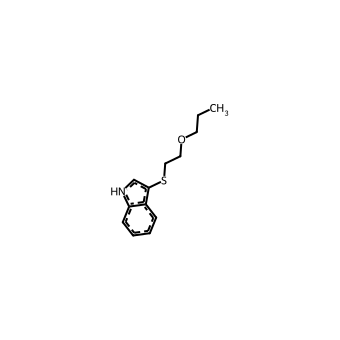 CCCOCCSc1c[nH]c2ccccc12